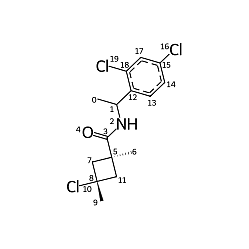 CC(NC(=O)[C@]1(C)C[C@@](C)(Cl)C1)c1ccc(Cl)cc1Cl